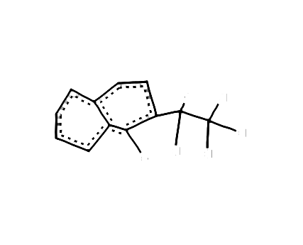 [O]c1c(C(Cl)(Cl)C(Cl)(Cl)Cl)ccc2ccccc12